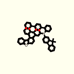 CC1(C)c2ccccc2-c2ccc(N(c3ccc4c5ccccc5c5c(ccc6oc7ccccc7c65)c4c3)c3ccccc3-c3ccc(-c4ccccc4)cc3)cc21